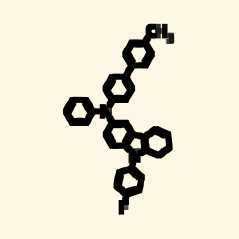 Cc1ccc(-c2ccc(N(c3ccccc3)c3ccc4c(c3)c3c(n4-c4ccc(F)cc4)CCC=C3)cc2)cc1